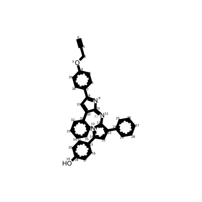 C#CCOc1ccc(C2=N/C(=N/c3[nH]c(-c4ccc(O)cc4)cc3-c3ccccc3)C(c3ccccc3)=C2)cc1